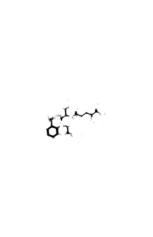 NC(CCC(=O)NC(CS)C(=O)N(CC(=O)O)c1ccccc1C(=O)O)C(=O)O